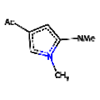 CNc1cc(C(C)=O)cn1C